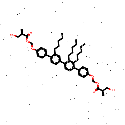 C=C(CO)C(=O)OCOc1ccc(-c2ccc(-c3ccc(-c4ccc(OCOC(=O)C(=C)CO)cc4)c(CCCCC)c3CCCCC)cc2CCCCC)cc1